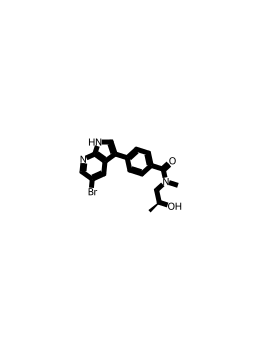 C[C@H](O)CN(C)C(=O)c1ccc(-c2c[nH]c3ncc(Br)cc23)cc1